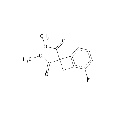 COC(=O)C1(C(=O)OC)Cc2c(F)cccc21